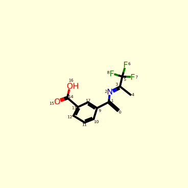 C=C(/N=C(\C)C(F)(F)F)c1cccc(C(=O)O)c1